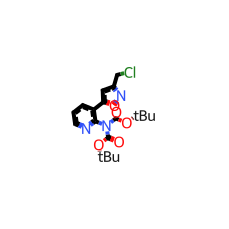 CC(C)(C)OC(=O)N(C(=O)OC(C)(C)C)c1ncccc1-c1cc(CCl)no1